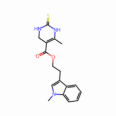 CC1=C(C(=O)OCCc2cn(C)c3ccccc23)CNC(=S)N1